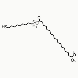 COC(CCCCCCCCCCCCCCCCC(=O)O[SiH2]CCCCCCCCCS)OC